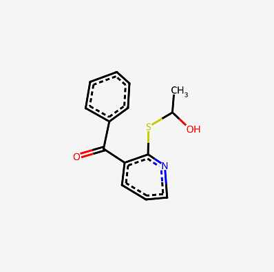 CC(O)Sc1ncccc1C(=O)c1ccccc1